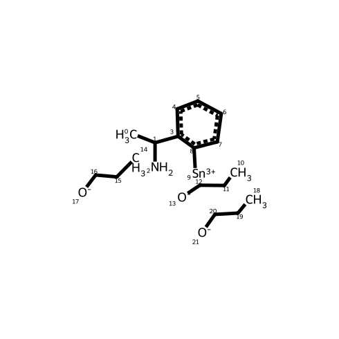 CC(N)c1cccc[c]1[Sn+3].CCC[O-].CCC[O-].CCC[O-]